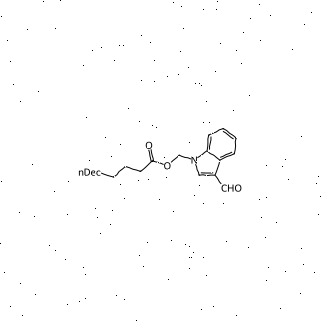 CCCCCCCCCCCCCC(=O)OCn1cc(C=O)c2ccccc21